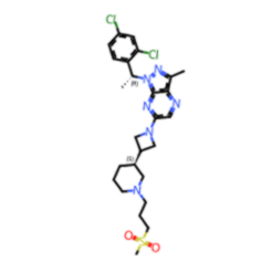 Cc1nn([C@H](C)c2ccc(Cl)cc2Cl)c2nc(N3CC([C@@H]4CCCN(CCCS(C)(=O)=O)C4)C3)cnc12